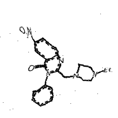 CCN1CCN(Cc2nc3ccc([N+](=O)[O-])cc3c(=O)n2-c2ccccc2)CC1